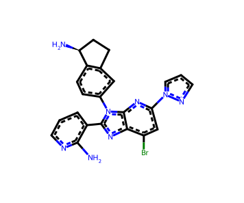 Nc1ncccc1-c1nc2c(Br)cc(-n3cccn3)nc2n1-c1ccc2c(c1)CC[C@@H]2N